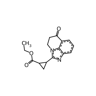 CCOC(=O)C1CC1c1nc2cccc3c2n1CCC3=O